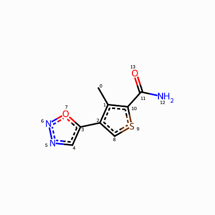 Cc1c(-c2cnno2)csc1C(N)=O